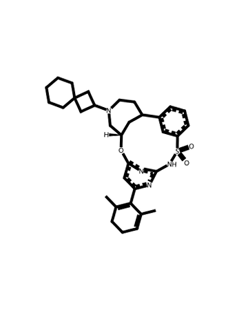 CC1=CCCC(C)=C1c1cc2nc(n1)NS(=O)(=O)c1cccc(c1)C1CCN(C3CC4(CCCCC4)C3)C[C@H](C1)O2